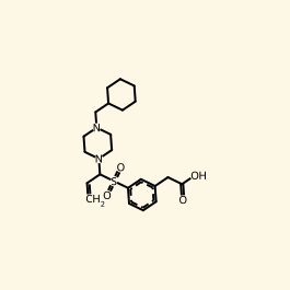 C=CC(N1CCN(CC2CCCCC2)CC1)S(=O)(=O)c1cccc(CC(=O)O)c1